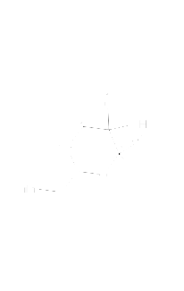 CC(C)OB1OCC(C)(C)C(C)(C)O1